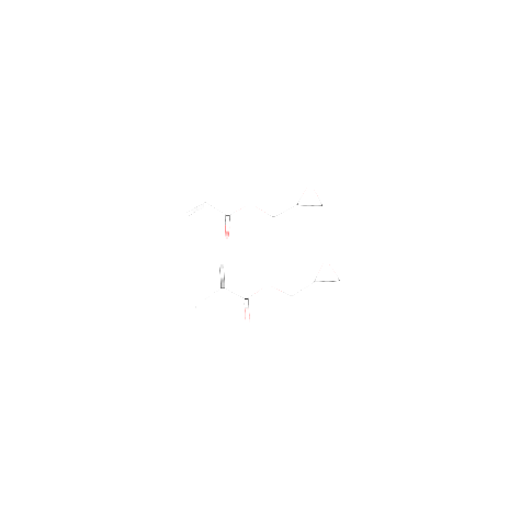 C=C(C)C(=O)OCC1CO1.C=CC(=O)OCC1CO1